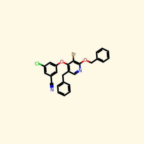 N#Cc1cc(Cl)cc(Oc2c(Cc3ccccc3)cnc(OCc3ccccc3)c2Br)c1